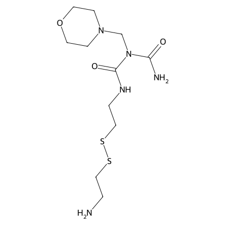 NCCSSCCNC(=O)N(CN1CCOCC1)C(N)=O